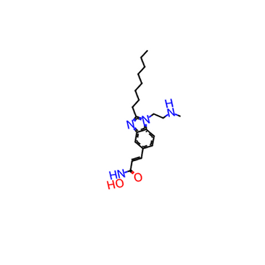 CCCCCCCCc1nc2cc(C=CC(=O)NO)ccc2n1CCNC